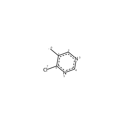 [CH2]c1cncnc1Cl